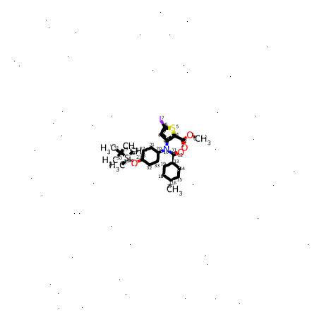 COC(=O)c1sc(I)cc1N(C(=O)[C@H]1CC[C@H](C)CC1)C1CCC(O[Si](C)(C)C(C)(C)C)CC1